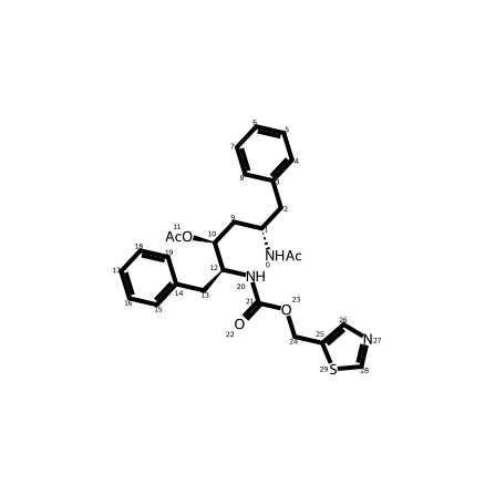 CC(=O)N[C@@H](Cc1ccccc1)C[C@H](OC(C)=O)[C@H](Cc1ccccc1)NC(=O)OCc1cncs1